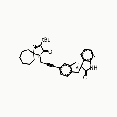 CC(C)(C)C1=NC2(CCCCCC2)N(CC#Cc2ccc3c(c2)C[C@@]2(C3)C(=O)Nc3ncccc32)C1=O